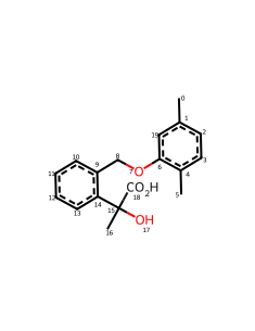 Cc1ccc(C)c(OCc2ccccc2C(C)(O)C(=O)O)c1